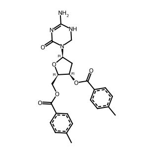 Cc1ccc(C(=O)OC[C@H]2O[C@@H](N3CNC(N)=NC3=O)C[C@H]2OC(=O)c2ccc(C)cc2)cc1